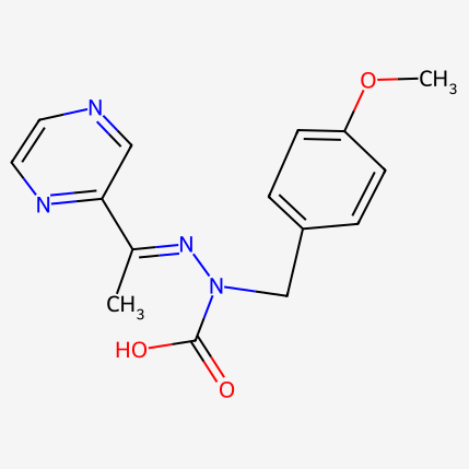 COc1ccc(CN(/N=C(\C)c2cnccn2)C(=O)O)cc1